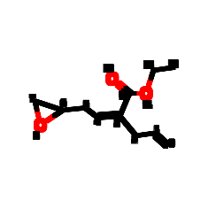 C=CCC(=CCC1CO1)C(=O)OCC